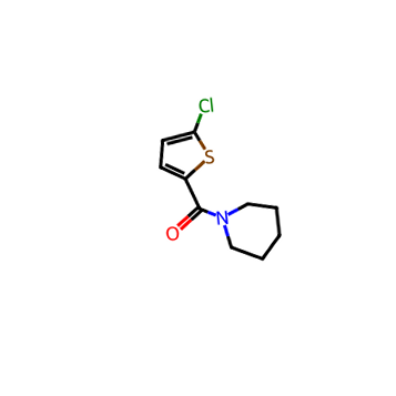 O=C(c1ccc(Cl)s1)N1CCCCC1